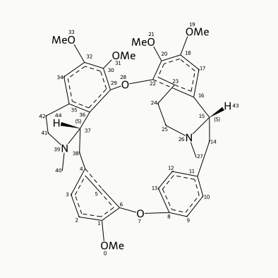 COc1ccc2cc1Oc1ccc(cc1)C[C@H]1c3cc(OC)c(OC)c(c3CCN1C)Oc1c(OC)c(OC)cc3c1[C@H](C2)N(C)CC3